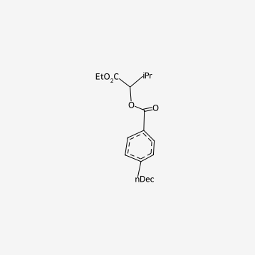 CCCCCCCCCCc1ccc(C(=O)OC(C(=O)OCC)C(C)C)cc1